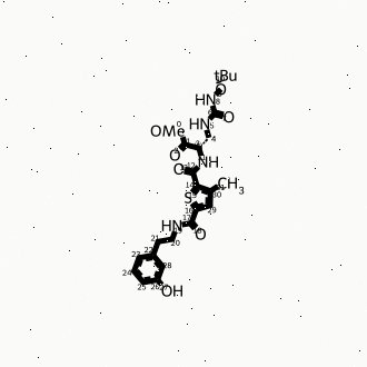 COC(=O)[C@H](CNC(=O)NOC(C)(C)C)NC(=O)c1sc(C(=O)NCCc2cccc(O)c2)cc1C